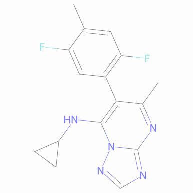 Cc1cc(F)c(-c2c(C)nc3ncnn3c2NC2CC2)cc1F